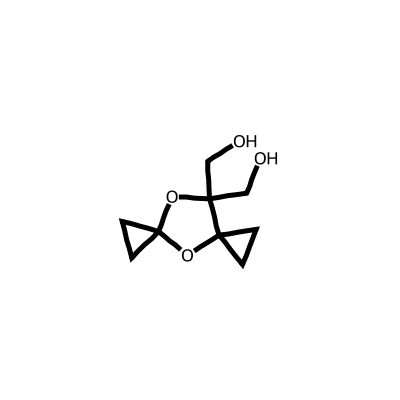 OCC1(CO)OC2(CC2)OC12CC2